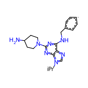 CC(C)n1cnc2c(NCc3cc[c]cc3)nc(N3CCC(N)CC3)nc21